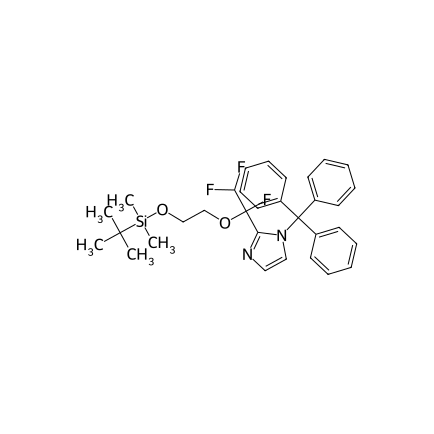 CC(C)(C)[Si](C)(C)OCCOC(F)(c1nccn1C(c1ccccc1)(c1ccccc1)c1ccccc1)C(F)F